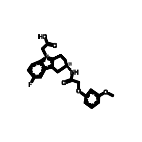 COc1cccc(OCC(=O)N[C@@H]2CCc3c(c4cc(F)ccc4n3CC(=O)O)C2)c1